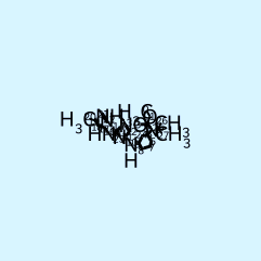 COC(=O)N(c1cccc(Nc2cncc(Nc3cc(C)[nH]n3)n2)c1)C(C)C